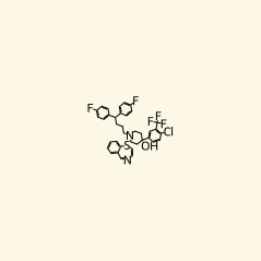 C1=CSc2ccccc2C=N1.OC1(c2ccc(Cl)c(C(F)(F)F)c2)CCN(CCCC(c2ccc(F)cc2)c2ccc(F)cc2)CC1